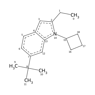 CCc1cc2ccc(C(C)(C)C)cc2n1C1CCC1